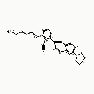 CCOCCOc1cccc(-c2ccc3cc(N4CCCCC4)ccc3c2)c1C#N